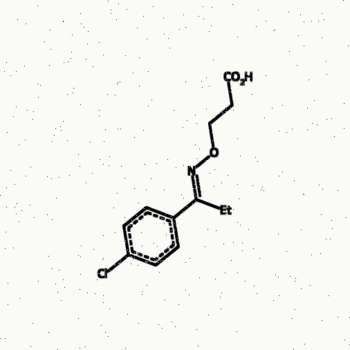 CCC(=NOCCC(=O)O)c1ccc(Cl)cc1